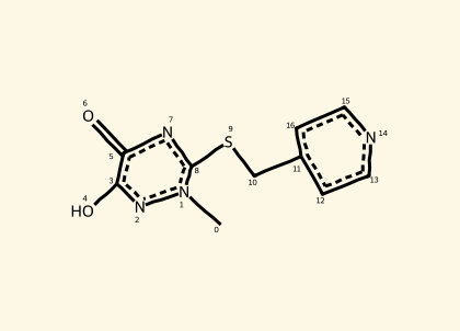 Cn1nc(O)c(=O)nc1SCc1ccncc1